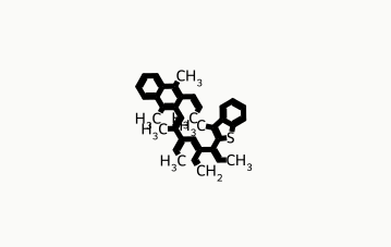 C=CC(=C\C(=C/C)C(\C)=C\c1c(/C=C\C)c(C)c2ccccc2c1C)/C(=C/C)c1sc2ccccc2c1C